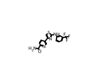 NC(=O)c1ccc(-c2csc(Nc3cccc(C(F)(F)F)c3)n2)cn1